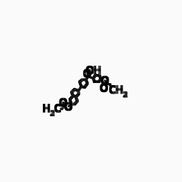 C=CC(=O)Oc1ccc(C(OO)c2ccc(-c3ccc4cc(OC(=O)C=C)ccc4c3)cc2)cc1